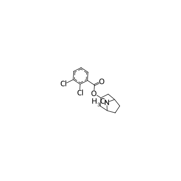 CN1C2CCC1CC(OC(=O)c1cccc(Cl)c1Cl)C2